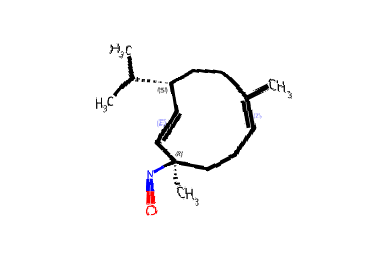 C/C1=C/CC[C@@](C)(N=O)/C=C/[C@H](C(C)C)CC1